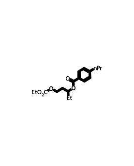 CCCc1ccc(C(=O)OC(CC)CCOC(=O)OCC)cc1